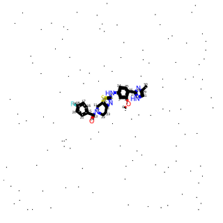 COc1cc(Nc2nc3c(s2)CN(C(=O)c2ccc(F)cc2)CC3)ccc1-c1nc(C)c[nH]1